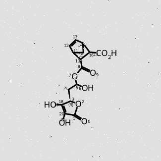 O=C1O[C@H](CC(O)OC(=O)C2C3C=CC(C3)C2C(=O)O)C(O)=C1O